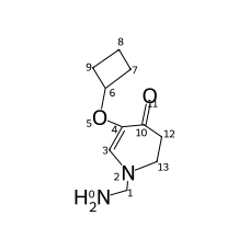 NCN1C=C(OC2CCC2)C(=O)CC1